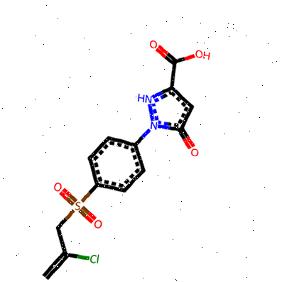 C=C(Cl)CS(=O)(=O)c1ccc(-n2[nH]c(C(=O)O)cc2=O)cc1